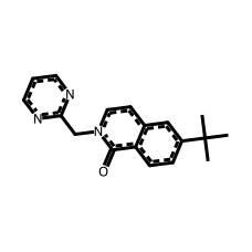 CC(C)(C)c1ccc2c(=O)n(Cc3ncccn3)ccc2c1